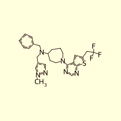 Cn1cc(CN(Cc2ccccc2)C2CCCN(c3ncnc4sc(CC(F)(F)F)cc34)CC2)cn1